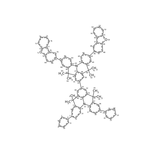 CC1(C)c2cc(-c3ccccc3)ccc2N2c3ccc(-c4ccccc4)cc3C(C)(C)c3cc(-c4cc5c6c(c4)C(C)(C)c4cc(-c7ccc8oc9ccccc9c8c7)ccc4N6c4ccc(-c6ccc7oc8ccccc8c7c6)cc4C5(C)C)cc1c32